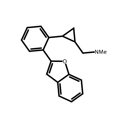 CNCC1CC1c1ccccc1-c1cc2ccccc2o1